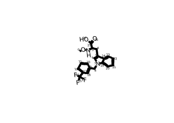 CONC(Cc1cn(Cc2cccc(C(F)(F)F)c2)c2ccccc12)C(=O)O